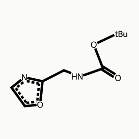 CC(C)(C)OC(=O)NCc1ncco1